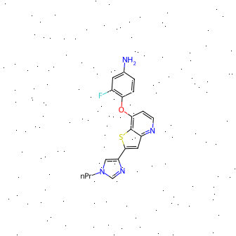 CCCn1cnc(-c2cc3nccc(Oc4ccc(N)cc4F)c3s2)c1